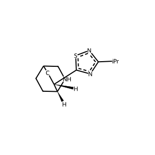 CC(C)c1nsc([C@H]2CC3CC[C@H]2NC3)n1